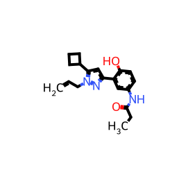 C=CCn1nc(-c2cc(NC(=O)CC)ccc2O)cc1C1CCC1